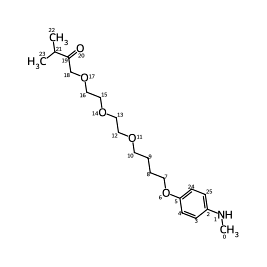 CNc1ccc(OCCCCOCCOCCOCC(=O)C(C)C)cc1